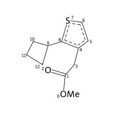 COC(=O)Cc1ccsc1C1CCC1